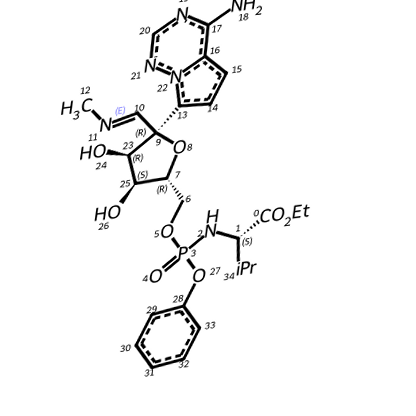 CCOC(=O)[C@@H](NP(=O)(OC[C@H]1O[C@@](/C=N/C)(c2ccc3c(N)ncnn23)[C@H](O)[C@@H]1O)Oc1ccccc1)C(C)C